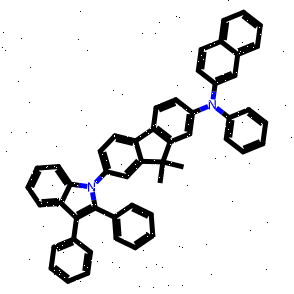 CC1(C)c2cc(N(c3ccccc3)c3ccc4ccccc4c3)ccc2-c2ccc(-n3c(-c4ccccc4)c(-c4ccccc4)c4ccccc43)cc21